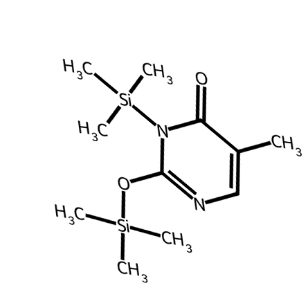 Cc1cnc(O[Si](C)(C)C)n([Si](C)(C)C)c1=O